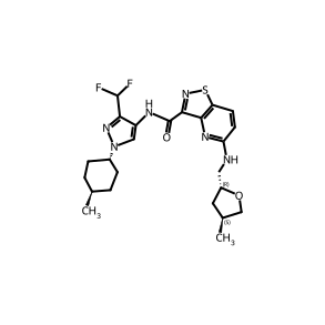 C[C@@H]1CO[C@@H](CNc2ccc3snc(C(=O)Nc4cn([C@H]5CC[C@H](C)CC5)nc4C(F)F)c3n2)C1